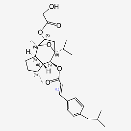 CC(C)Cc1ccc(/C=C/C(=O)O[C@H]2[C@@H]3[C@H](C)CC[C@H]3[C@]3(C)O[C@@]2(C(C)C)C[C@H]3OC(=O)CO)cc1